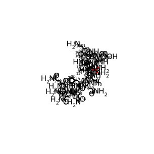 CC[C@H](C)[C@H](NC(=O)[C@H](CCC(N)=O)NC(=O)[C@H](Cc1ccccc1)NC(=O)[C@H](CCC(N)=O)NC(=O)[C@H](CCC(N)=O)NC(=O)[C@H](CC(N)=O)NC(=O)[C@@H](N)CCC(N)=O)C(=O)N[C@@H](CC(N)=O)C(=O)N[C@@H](CO)C(=O)N[C@@H](CC(N)=O)C(=O)N[C@@H](CC(=O)O)C(=O)NCC(=O)N[C@@H](CCCCN)C(=O)N1CCC[C@H]1C(=O)N[C@@H](CC(C)C)C(=O)O